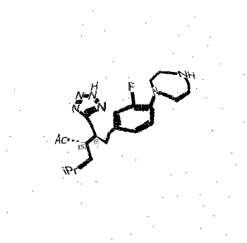 CC(=O)[C@@H](CC(C)C)[C@H](Cc1ccc(N2CCNCC2)c(F)c1)c1nn[nH]n1